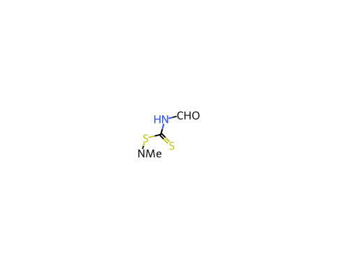 CNSC(=S)NC=O